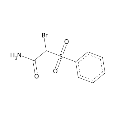 NC(=O)C(Br)S(=O)(=O)c1ccccc1